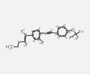 CCC/C(F)=C(\F)c1ccc(C#Cc2ccc(OC(F)(F)F)cc2)c(F)c1